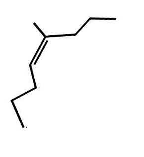 [CH2]CCC=C(C)CCC